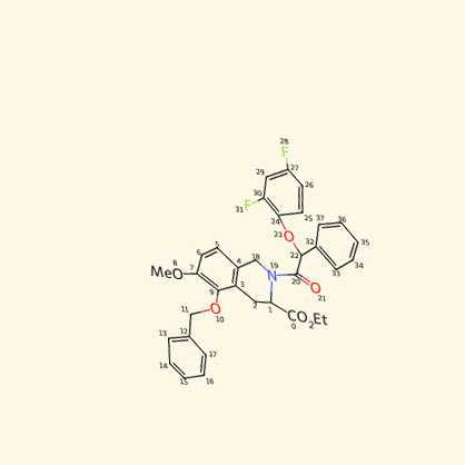 CCOC(=O)C1Cc2c(ccc(OC)c2OCc2ccccc2)CN1C(=O)C(Oc1ccc(F)cc1F)c1ccccc1